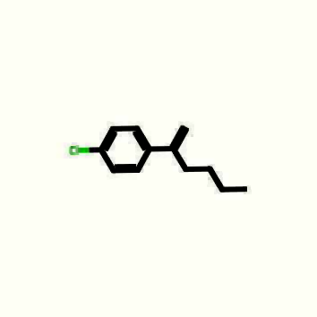 C=C(CCCC)c1ccc(Cl)cc1